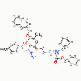 COc1ccc(CO[C@@H]2[C@@H](N=[N+]=[N-])[C@H](OCCCCC(NCc3ccccc3)C(=O)OCc3ccccc3)O[C@H](C)[C@@H]2OCc2ccc3ccccc3c2)cc1